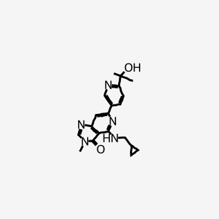 Cn1cnc2cc(-c3ccc(C(C)(C)O)nc3)nc(NCC3CC3)c2c1=O